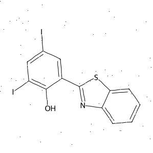 Oc1c(I)cc(I)cc1-c1nc2ccccc2s1